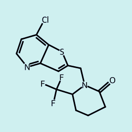 O=C1CCCC(C(F)(F)F)N1Cc1cc2nccc(Cl)c2s1